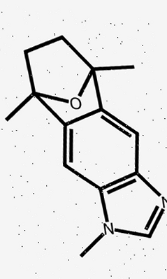 Cn1cnc2cc3c(cc21)C1(C)CCC3(C)O1